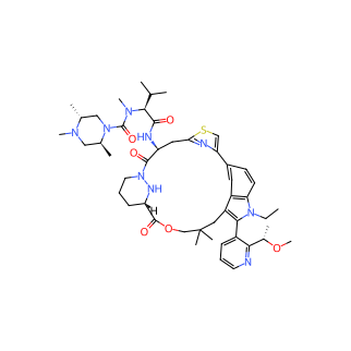 CCn1c(-c2cccnc2[C@H](C)OC)c2c3cc(ccc31)-c1csc(n1)C[C@H](NC(=O)[C@H](C(C)C)N(C)C(=O)N1C[C@@H](C)N(C)C[C@@H]1C)C(=O)N1CCC[C@H](N1)C(=O)OCC(C)(C)C2